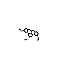 N#COc1ccc(CC(Cc2ccc(OC#N)cc2)c2ccc(OC#N)cc2)cc1